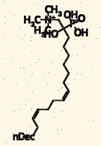 CCCCCCCCCCC/C=C\CC/C=C\CCCCCCC(O)(C[N+](C)(C)C)P(=O)(O)O